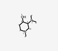 CN1CCC(O)C(N(C)C)C1